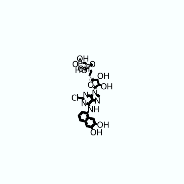 O=P(O)(O)CP(=O)(O)CC[C@H]1O[C@@H](n2cnc3c(Nc4cccc5cc(O)c(O)cc45)nc(Cl)nc32)C(O)C1O